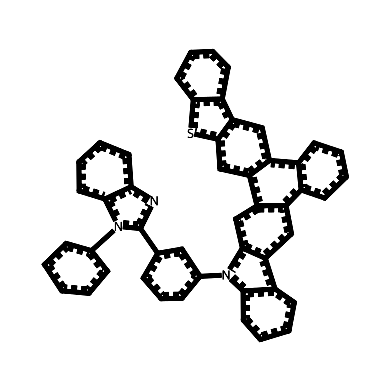 c1ccc(-n2c(-c3cccc(-n4c5ccccc5c5cc6c7ccccc7c7cc8c(cc7c6cc54)sc4ccccc48)c3)nc3ccccc32)cc1